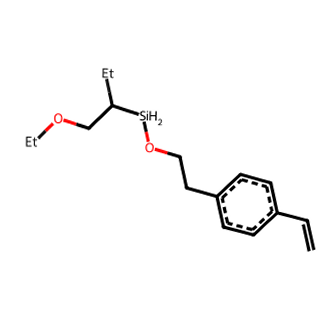 C=Cc1ccc(CCO[SiH2]C(CC)COCC)cc1